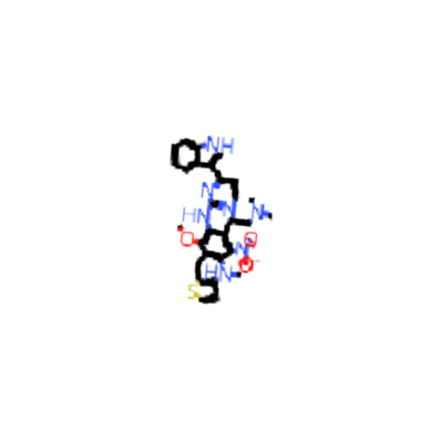 CNc1c(Cc2cccs2)c(OC)c(Nc2nccc(-c3c[nH]c4ccccc34)n2)c(CCN(C)C)c1[N+](=O)[O-]